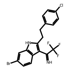 N=C(c1c(CCc2ccc(Cl)cc2)[nH]c2cc(Br)ccc12)C(F)(F)F